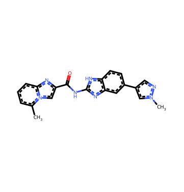 Cc1cccc2nc(C(=O)Nc3nc4cc(-c5cnn(C)c5)ccc4[nH]3)cn12